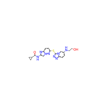 O=C(Nc1cn2nc(Sc3nnc4ccc(NCCO)cn34)ccc2n1)C1CC1